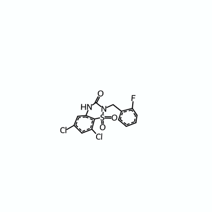 O=C1Nc2cc(Cl)cc(Cl)c2S(=O)(=O)N1Cc1ccccc1F